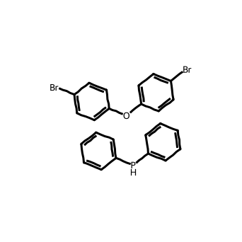 Brc1ccc(Oc2ccc(Br)cc2)cc1.c1ccc(Pc2ccccc2)cc1